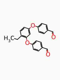 CCc1ccc(Oc2ccc(C=O)cc2)cc1Oc1ccc(C=O)cc1